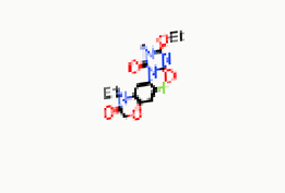 CCOc1nc(=O)n(-c2cc3c(cc2F)OCC(=O)N3CC)c(=O)n1C